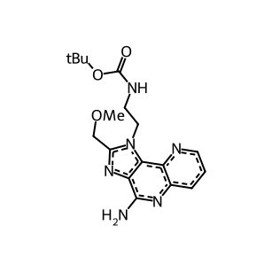 COCc1nc2c(N)nc3cccnc3c2n1CCNC(=O)OC(C)(C)C